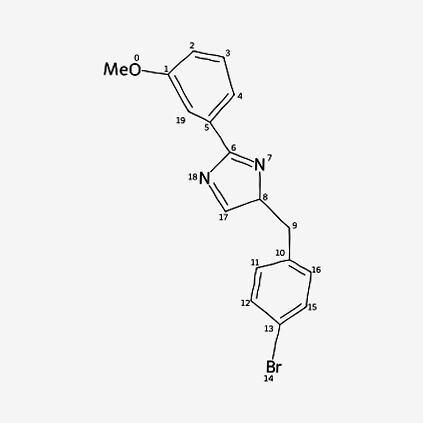 COc1cccc(C2=NC(Cc3ccc(Br)cc3)C=N2)c1